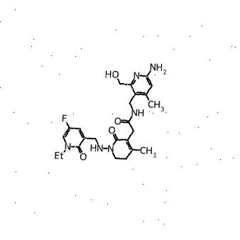 CCn1cc(F)cc(CNN2CCC(C)=C(CC(=O)NCc3c(C)cc(N)nc3CO)C2=O)c1=O